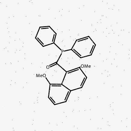 COc1ccc2cccc(OC)c2c1C(=O)P(c1ccccc1)c1ccccc1